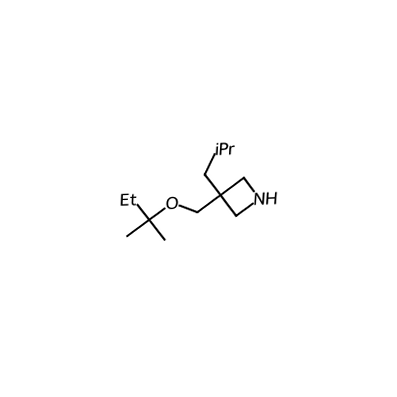 CCC(C)(C)OCC1(CC(C)C)CNC1